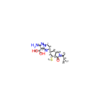 CSc1cc(-c2ccn3nc(N)c(C(O)O)c3n2)cc2c1C(=O)N([C@@H](C)C1CC1)C2